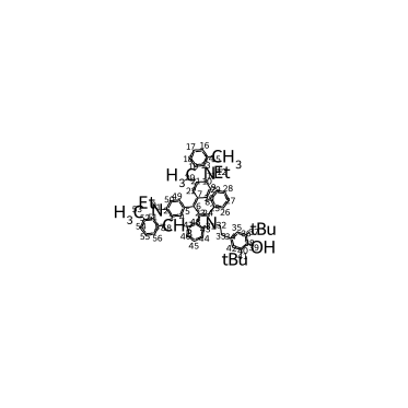 CCN(c1ccc(C(=C2C=CC(=[N+](CC)c3c(C)cccc3C)C=C2)c2c(-c3ccccc3)n(CCc3cc(C(C)(C)C)c(O)c(C(C)(C)C)c3)c3ccccc23)cc1)c1c(C)cccc1C